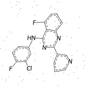 Fc1ccc(Nc2nc(-c3cccnc3)nc3cccc(F)c23)cc1Cl